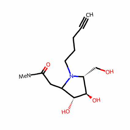 C#CCCCN1C(CC(=O)NC)[C@@H](O)[C@H](O)[C@H]1CO